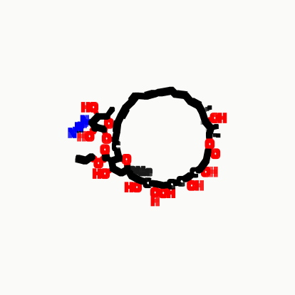 C=CCOC(=O)[C@H]1C2C[C@@H](O[C@@H]3O[C@H](C)[C@@H](O)[C@H](N=[N+]=[N-])C3O)/C=C/C=C/C=C/C=C/C=C/C=C/C=C/[C@H](C)[C@@H](O)[C@@H](C)[C@H](C)OC(=O)C[C@H](O)C[C@H](O)CC[C@@H](O)[C@H](O)C[C@H](O)C[C@](OC)(C[C@@H]1O)O2